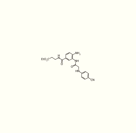 CCOC(=O)CCNC(=O)c1ccc(N)c(NC(=O)CNc2ccc(C#N)cc2)c1